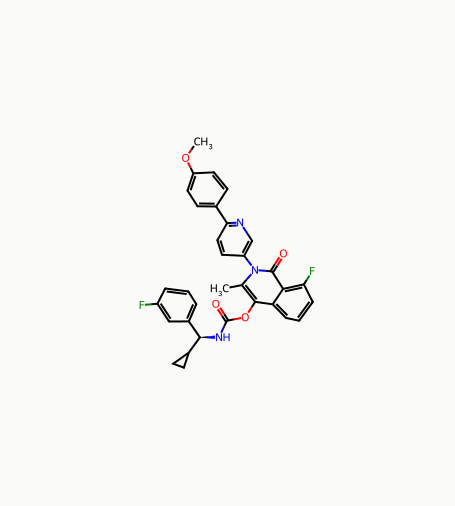 COc1ccc(-c2ccc(-n3c(C)c(OC(=O)N[C@H](c4cccc(F)c4)C4CC4)c4cccc(F)c4c3=O)cn2)cc1